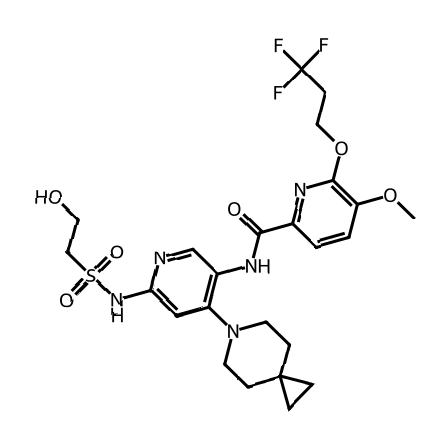 COc1ccc(C(=O)Nc2cnc(NS(=O)(=O)CCO)cc2N2CCC3(CC2)CC3)nc1OCCC(F)(F)F